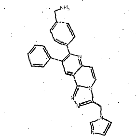 NCc1ccc(-c2nc3ccn4c(Cn5ccnc5)nnc4c3cc2-c2ccccc2)cc1